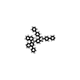 c1ccc(-c2ccc(-c3nc(-c4ccc(-c5ccccc5)cc4)c4cc(-n5c6ccc7ccccc7c6c6c7ccccc7c(-c7ccccc7)cc65)ccc4n3)cc2)cc1